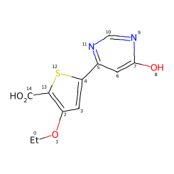 CCOc1cc(-c2cc(O)ncn2)sc1C(=O)O